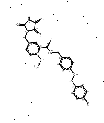 COc1ccc(CN2C(=O)NC(=O)C2=O)cc1C(=O)NCc1ccc(OCc2ccc(F)cc2)cc1